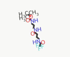 CC(C)(C)OC(=O)NCCCNC(=O)CCCNC(=O)C(F)(F)F